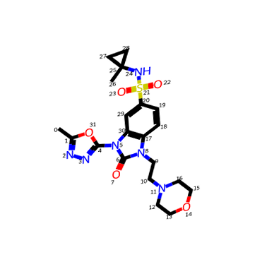 Cc1nnc(-n2c(=O)n(CCN3CCOCC3)c3ccc(S(=O)(=O)NC4(C)CC4)cc32)o1